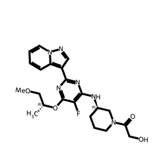 COC[C@@H](C)Oc1nc(-c2cnn3ccccc23)nc(N[C@@H]2CCCN(C(=O)CO)C2)c1F